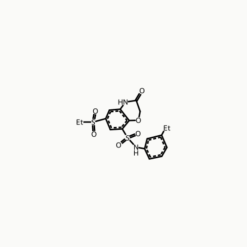 CCc1cccc(NS(=O)(=O)c2cc(S(=O)(=O)CC)cc3c2OCC(=O)N3)c1